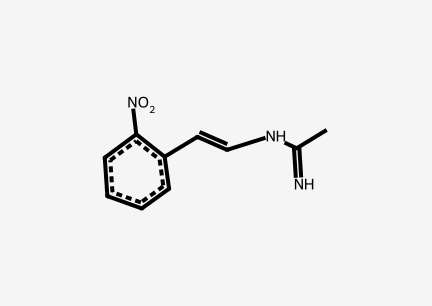 CC(=N)N/C=C/c1ccccc1[N+](=O)[O-]